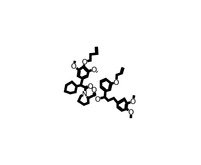 C=CCCOc1c(OC)cc(C(C(=O)N2CCCCC2C(=O)OC(CCc2ccc(OC)c(OC)c2)c2cccc(OCC=C)c2)C2CCCCC2)cc1OC